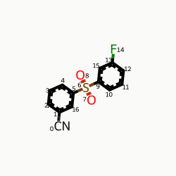 N#Cc1[c]ccc(S(=O)(=O)c2cccc(F)c2)c1